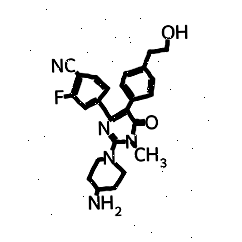 Cn1c(N2CCC(N)CC2)nc(-c2ccc(C#N)c(F)c2)c(-c2ccc(CCO)cc2)c1=O